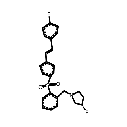 O=S(=O)(c1ccc(/C=C/c2ccc(F)cc2)cc1)c1ccccc1CN1CC[C@@H](F)C1